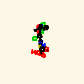 COc1cc(C(=O)O)cc2sc(N3CC(c4ccc(OCc5c(-c6c(Cl)cccc6Cl)noc5C5CC5)cc4Cl)C3)nc12